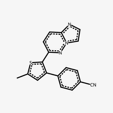 Cc1cc(-c2ccc(C#N)cc2)c(-c2ccc3nccn3n2)s1